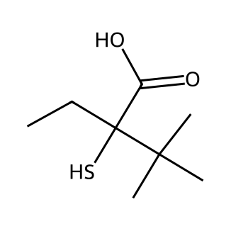 CCC(S)(C(=O)O)C(C)(C)C